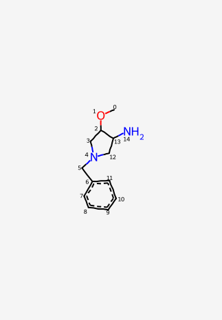 COC1CN(Cc2ccccc2)CC1N